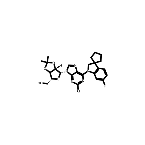 CC1(C)OC2[C@@H](CO)O[C@@H](n3cnc4c(N5CC6(CCCC6)c6ccc(F)cc65)nc(Cl)nc43)[C@H]2O1